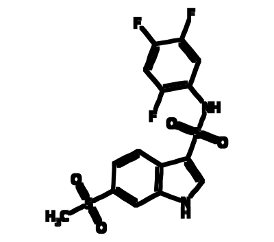 CS(=O)(=O)c1ccc2c(S(=O)(=O)Nc3cc(F)c(F)cc3F)c[nH]c2c1